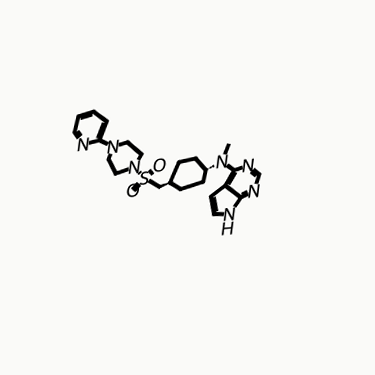 CN(c1ncnc2[nH]ccc12)[C@H]1CC[C@H](CS(=O)(=O)N2CCN(c3ccccn3)CC2)CC1